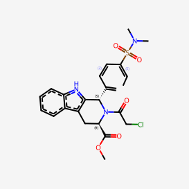 C=C(/C=C\C(=C/C)S(=O)(=O)N(C)C)[C@H]1c2[nH]c3ccccc3c2C[C@H](C(=O)OC)N1C(=O)CCl